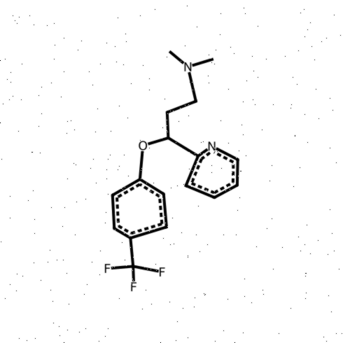 CN(C)CCC(Oc1ccc(C(F)(F)F)cc1)c1ccccn1